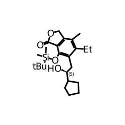 CCc1c(C)c2c(c(O[Si](C)(C)C(C)(C)C)c1C[C@H](O)C1CCCC1)C(=O)OC2